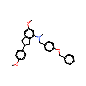 COc1ccc(C2Cc3cc(OC)cc(N(C)Cc4ccc(OCc5ccccc5)cc4)c3C2)cc1